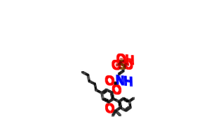 CCCCCc1cc(OC(=O)NCCS(=O)(=O)O)c2c(c1)OC(C)(C)c1ccc(C)cc1-2